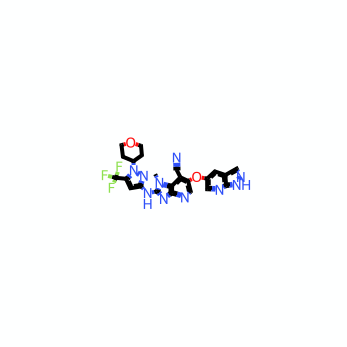 Cn1c(Nc2cc(C(F)(F)F)n(C3CCOCC3)n2)nc2ncc(Oc3cnc4[nH]ncc4c3)c(C#N)c21